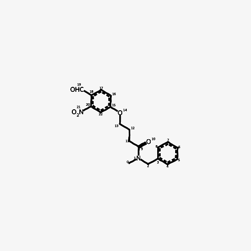 CN(Cc1ccccc1)C(=O)CCCOc1ccc(C=O)c([N+](=O)[O-])c1